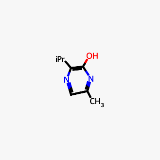 Cc1cnc(C(C)C)c(O)n1